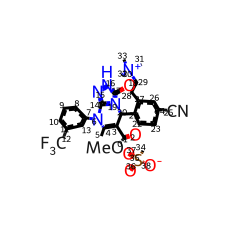 COC(=O)C1=C(C)N(c2cccc(C(F)(F)F)c2)c2n[nH]c(=O)n2C1c1ccc(C#N)cc1CC[N+](C)(C)C.CS(=O)(=O)[O-]